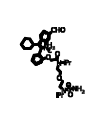 CC(C)N(CCOCCN(C(C)C)S(N)(=O)=O)C(=O)COc1ccccc1-c1c(C2CCCCC2)c2ccc(C=O)cc2n1C